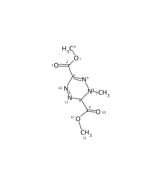 COC(=O)C1=NN(C)C(C(=O)OC)N=N1